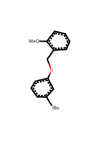 COc1ccccc1COc1cccc(C(C)(C)C)c1